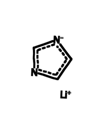 [Li+].c1c[n-]cn1